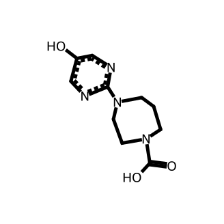 O=C(O)N1CCCN(c2ncc(O)cn2)CC1